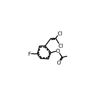 CC(=O)Oc1ccc(F)cc1C=C(Cl)Cl